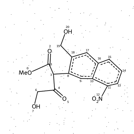 COC(=O)C(C(=O)CO)c1cc2c([N+](=O)[O-])cccc2cc1CO